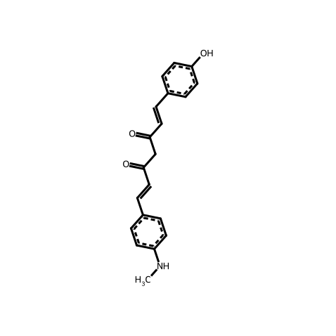 CNc1ccc(C=CC(=O)CC(=O)C=Cc2ccc(O)cc2)cc1